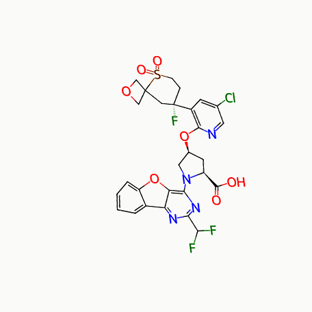 O=C(O)[C@@H]1C[C@H](Oc2ncc(Cl)cc2[C@]2(F)CCS(=O)(=O)C3(COC3)C2)CN1c1nc(C(F)F)nc2c1oc1ccccc12